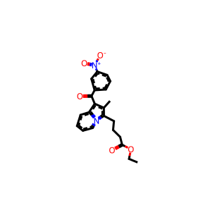 CCOC(=O)CCCc1c(C)c(C(=O)c2cccc([N+](=O)[O-])c2)c2ccccn12